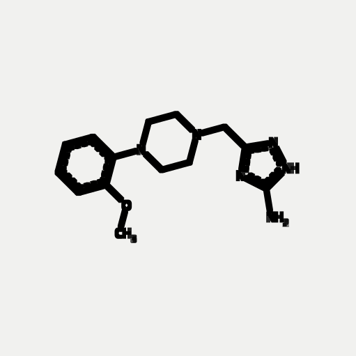 COc1ccccc1N1CCN(Cc2n[nH]c(N)n2)CC1